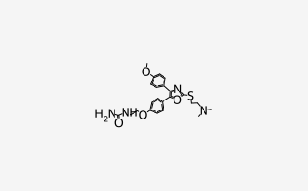 COc1ccc(-c2nc(SCCN(C)C)oc2-c2ccc(OCCNC(N)=O)cc2)cc1